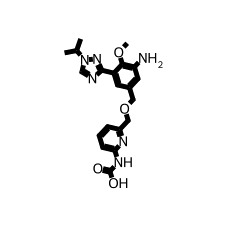 COc1c(N)cc(COCc2cccc(NC(=O)O)n2)cc1-c1ncn(C(C)C)n1